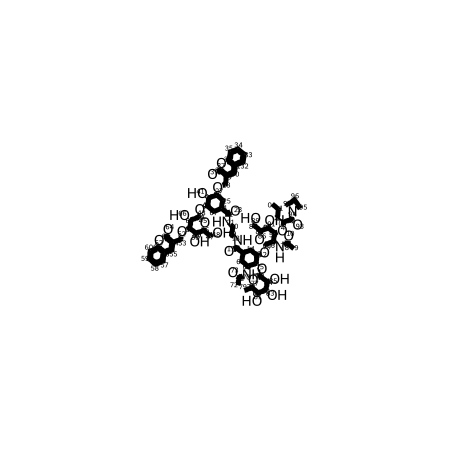 CCC[C@H](OC1C(NC(C)=O)[C@H](O[C@@H]2CC(C(=O)NCCNC(=O)C3CC(OCc4cc5ccccc5oc4=O)C(O)[C@H](O[C@@H]4OC(CO)[C@H](O)C(OCc5cc6ccccc6oc5=O)C4O)C3)CC(NC(C)=O)C2O[C@@H]2OC(C)[C@@H](O)C(O)C2O)OC(CO)[C@@H]1O)C(=O)N1CCC1